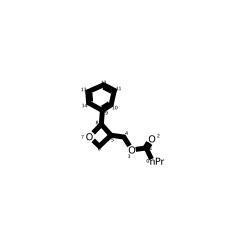 CCCC(=O)OCC1COC1c1ccccc1